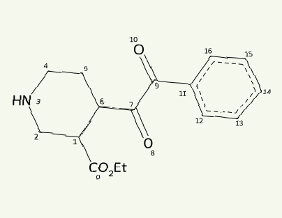 CCOC(=O)C1CNCCC1C(=O)C(=O)c1ccccc1